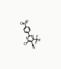 N#Cc1c(Cl)nc(-c2ccc([N+](=O)[O-])cc2)nc1C(F)(F)F